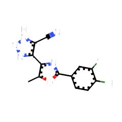 Cc1oc(-c2ccc(Cl)c(Cl)c2)nc1-c1nn[nH]c1C#N